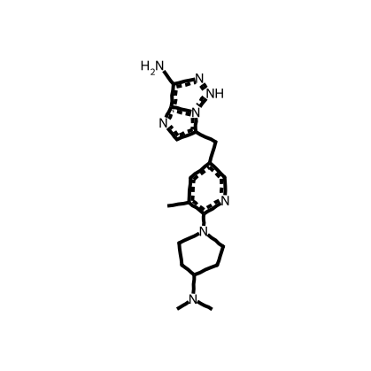 Cc1cc(Cc2cnc3c(N)n[nH]n23)cnc1N1CCC(N(C)C)CC1